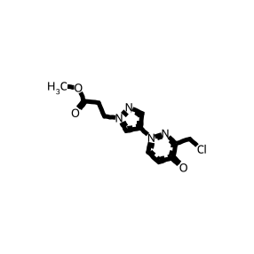 COC(=O)CCn1cc(-n2ccc(=O)c(CCl)n2)cn1